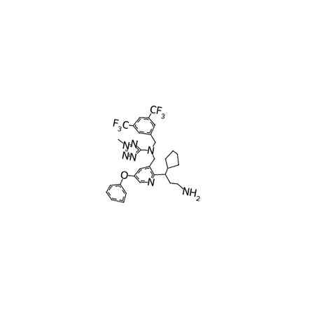 Cn1nnc(N(Cc2cc(C(F)(F)F)cc(C(F)(F)F)c2)Cc2cc(Oc3ccccc3)cnc2C(CCN)C2CCCC2)n1